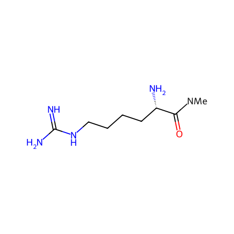 CNC(=O)[C@@H](N)CCCCNC(=N)N